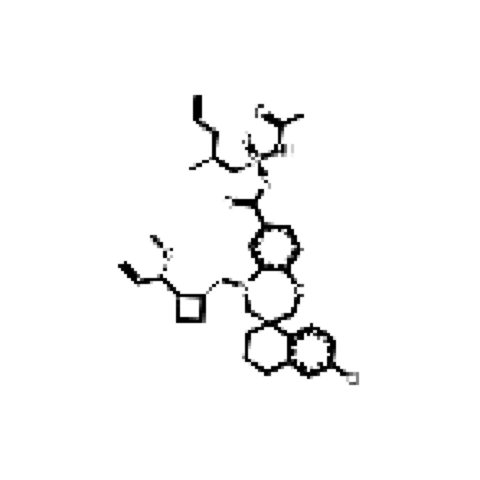 C=CC[C@H](C)C[S@](=O)(=NC(=O)c1ccc2c(c1)N(C[C@@H]1CC[C@H]1[C@H](C=C)OC)C[C@@]1(CCCc3cc(Cl)ccc31)CO2)NC(C)=O